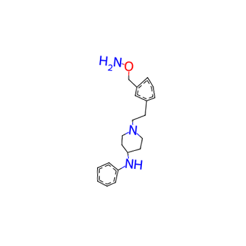 NOCc1cccc(CCN2CCC(Nc3ccccc3)CC2)c1